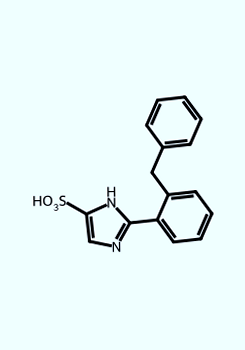 O=S(=O)(O)c1cnc(-c2ccccc2Cc2ccccc2)[nH]1